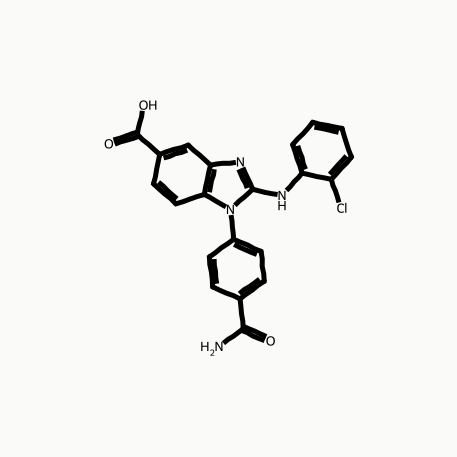 NC(=O)c1ccc(-n2c(Nc3ccccc3Cl)nc3cc(C(=O)O)ccc32)cc1